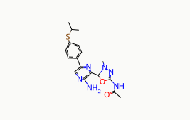 CC(=O)NC1=NN(C)C(c2nc(-c3ccc(SC(C)C)cc3)cnc2N)O1